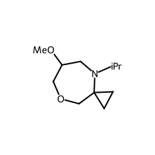 COC1COCC2(CC2)N(C(C)C)C1